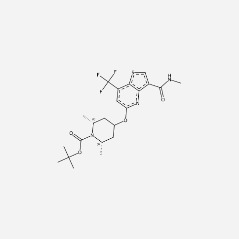 CNC(=O)c1csc2c(C(F)(F)F)cc(OC3C[C@@H](C)N(C(=O)OC(C)(C)C)[C@@H](C)C3)nc12